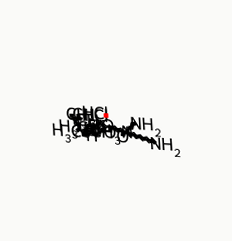 CCC(CCC(C)[C@H]1CC[C@H]2[C@@H]3CC=C4C[C@@H](OC(=O)CCCC(=O)N(CCCN)CCCCCCCCN)CC[C@]4(C)[C@H]3CC[C@]12C)C(C)C.Cl.Cl